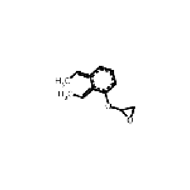 C/C=c1/cccc(OC2CO2)/c1=C/C